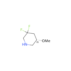 CO[C@@H]1CNCC(F)(F)C1